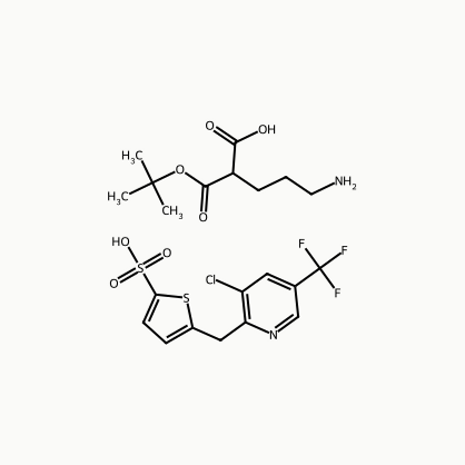 CC(C)(C)OC(=O)C(CCCN)C(=O)O.O=S(=O)(O)c1ccc(Cc2ncc(C(F)(F)F)cc2Cl)s1